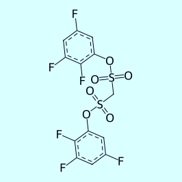 O=S(=O)(CS(=O)(=O)Oc1cc(F)cc(F)c1F)Oc1cc(F)cc(F)c1F